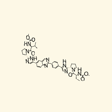 CC[C@H](NC(=O)OC)C(=O)N1CCC[C@H]1c1ncc(-c2ccc(-c3ncc4cc(-c5cnc([C@@H]6CCCN6C(=O)[C@@H](NC(=O)OC)C(C)C)[nH]5)ccc4n3)cc2)[nH]1